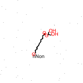 CCCCCCCCCOCCC=CCCCCCCC(=O)OC(CO)CO